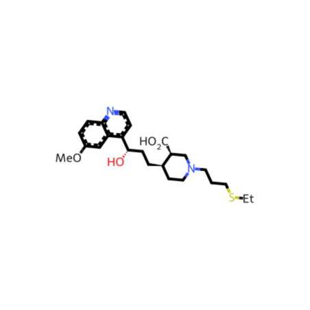 CCSCCCN1CC[C@@H](CC[C@H](O)c2ccnc3ccc(OC)cc23)[C@@H](C(=O)O)C1